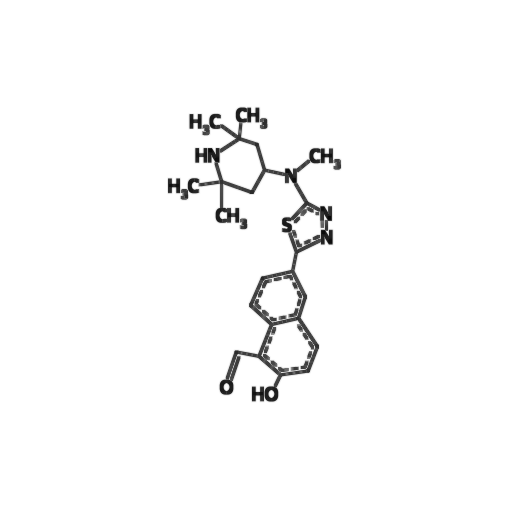 CN(c1nnc(-c2ccc3c(C=O)c(O)ccc3c2)s1)C1CC(C)(C)NC(C)(C)C1